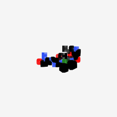 COc1nc(-c2cccc(-c3cccc(NC(=O)c4ccnn(C)c4=O)c3Cl)c2Cl)cnc1CN1CC2(CCC(=O)N2)C1